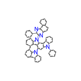 c1ccc(-c2nc3c(ccc4ccccc43)nc2-n2c3cccc4c5cccc6c7ccccc7n(c7cc8c(c9ccccc9n8-c8ccccc8)c2c7c43)c56)cc1